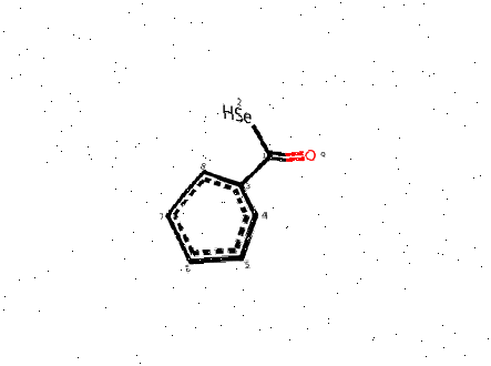 O=C([SeH])c1ccccc1